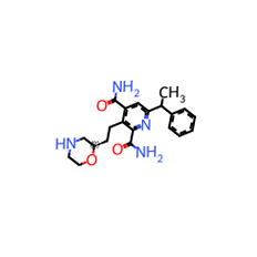 CC(c1ccccc1)c1cc(C(N)=O)c(CC[C@@H]2CNCCO2)c(C(N)=O)n1